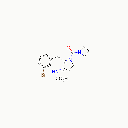 O=C(O)N[C@H]1CCN(C(=O)N2CCC2)[C@H]1Cc1cccc(Br)c1